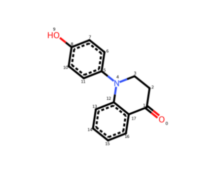 O=C1CCN(c2ccc(O)cc2)c2ccccc21